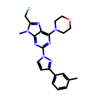 Cc1cccc(-c2ccn(-c3nc(N4CCOCC4)c4nc(CCl)n(C)c4n3)n2)c1